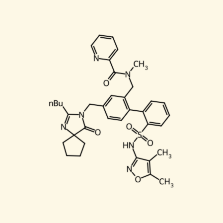 CCCCC1=NC2(CCCC2)C(=O)N1Cc1ccc(-c2ccccc2S(=O)(=O)Nc2noc(C)c2C)c(CN(C)C(=O)c2ccccn2)c1